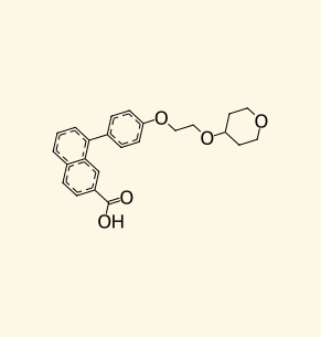 O=C(O)c1ccc2cccc(-c3ccc(OCCOC4CCOCC4)cc3)c2c1